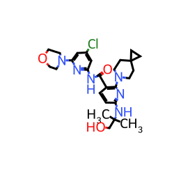 CC(C)(CO)Nc1ccc(C(=O)Nc2cc(Cl)cc(N3CCOCC3)n2)c(N2CCC3(CC2)CC3)n1